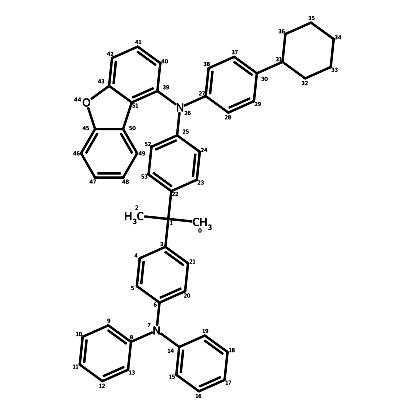 CC(C)(c1ccc(N(c2ccccc2)c2ccccc2)cc1)c1ccc(N(c2ccc(C3CCCCC3)cc2)c2cccc3oc4ccccc4c23)cc1